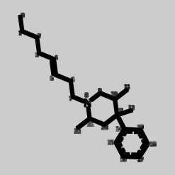 CCCC/C=C/CCN1CC(C)C(C)(c2ccccc2)CC1C